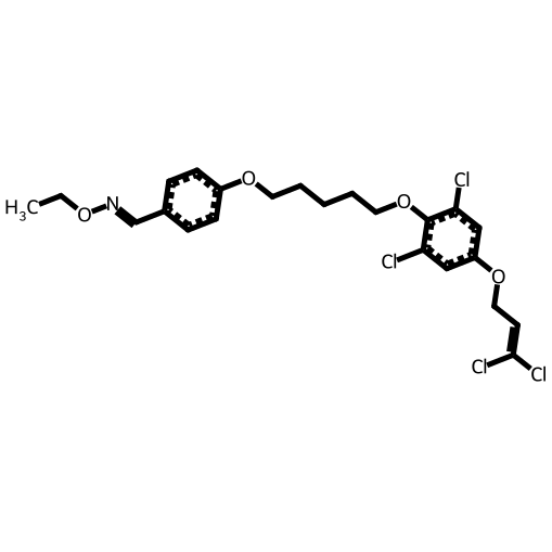 CCON=Cc1ccc(OCCCCCOc2c(Cl)cc(OCC=C(Cl)Cl)cc2Cl)cc1